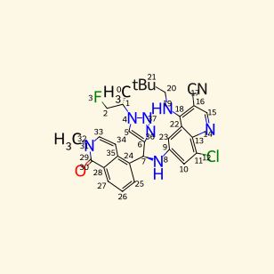 C[C@@H](CF)n1cc([C@@H](Nc2cc(Cl)c3ncc(C#N)c(NCC(C)(C)C)c3c2)c2cccc3c(=O)n(C)ccc23)nn1